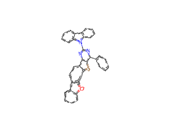 c1ccc(-c2nc(-n3c4ccccc4c4ccccc43)nc3c2sc2c3ccc3c4ccccc4oc32)cc1